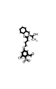 CC(O)N(CC1CCCCC1)C(=O)CCCOc1cc(Cl)c([N+](=O)[O-])c(C=O)c1